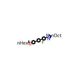 CCCCCCCCc1cnc(-c2ccc(-c3ccc(-c4ccc(OC(C)CCCCCC)cc4)cc3)c(F)c2)nc1